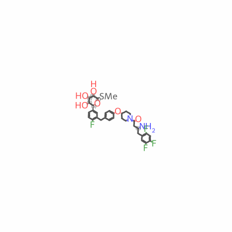 CS[C@H]1O[C@@H](c2ccc(F)c(Cc3ccc(OC4CCN(C(=O)C[C@@H](N)Cc5cc(F)c(F)cc5F)CC4)cc3)c2)[C@H](O)[C@@H](O)[C@@H]1O